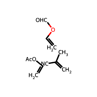 C=C(C)C#N.C=COC(C)=O.C=COC=O